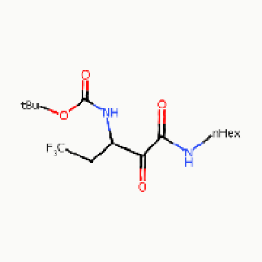 CCCCCCNC(=O)C(=O)C(CC(F)(F)F)NC(=O)OC(C)(C)C